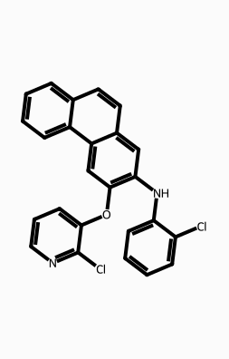 Clc1ccccc1Nc1cc2ccc3ccccc3c2cc1Oc1cccnc1Cl